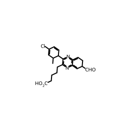 CC1C=C(Cl)C=CC1c1nc2c(nc1CCCCC(=O)O)=CC(C=O)CC=2